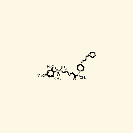 COc1cc(C)c(S(=O)(=O)N(C)CCOCC(=O)N(C)[C@H]2CC[C@@H](OCCN3CCCC3)CC2)c(C)c1